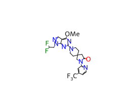 COc1nc(N2CCC3(CC2)CC(=O)N(c2cc(C(F)(F)F)ccn2)C3)nc2c1cnn2CC(F)F